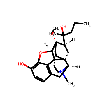 CCCC(C)(O)[C@H]1C[C@@]23CC[C@@]1(OC)[C@@H]1Oc4c(O)ccc5c4[C@@]12CCN(C)[C@@H]3C5